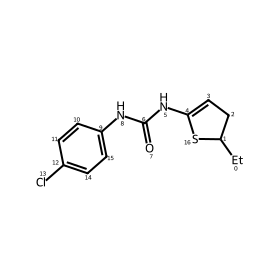 CCC1CC=C(NC(=O)Nc2ccc(Cl)cc2)S1